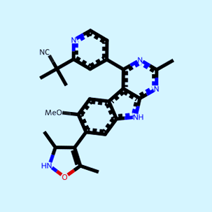 COc1cc2c(cc1C1=C(C)ONC1C)[nH]c1nc(C)nc(-c3ccnc(C(C)(C)C#N)c3)c12